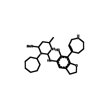 CNC1CC(C)NC(Nc2cc3c(c(C4=CCNCCC4)c2O)OCC3)N1C1CCCCCC1